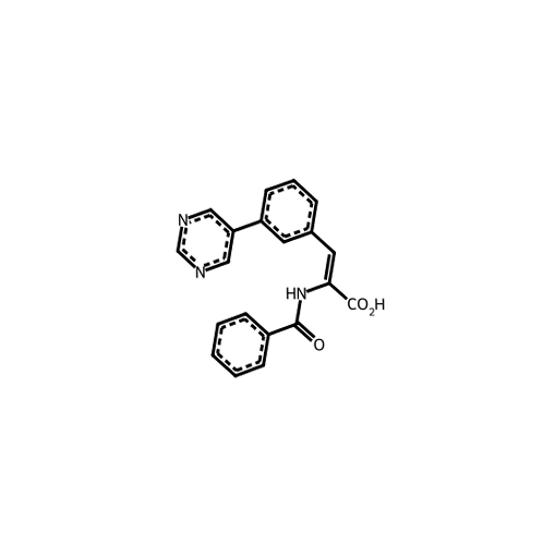 O=C(O)C(=Cc1cccc(-c2cncnc2)c1)NC(=O)c1ccccc1